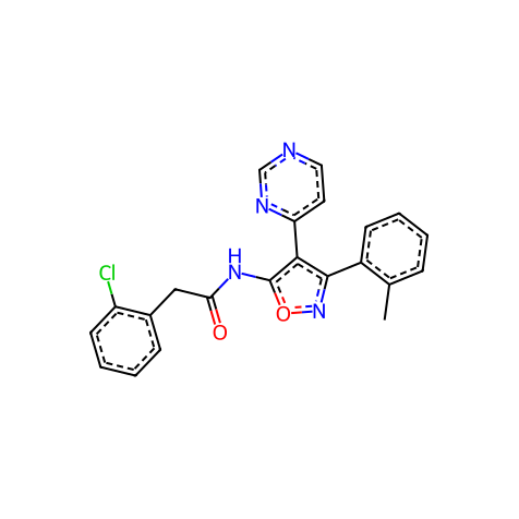 Cc1ccccc1-c1noc(NC(=O)Cc2ccccc2Cl)c1-c1ccncn1